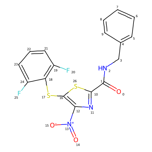 O=C(NCc1ccccc1)c1nc([N+](=O)[O-])c(Sc2c(F)cccc2F)s1